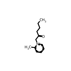 CCCCC(=O)C[n+]1ccccc1C